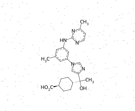 Cc1cc(Nc2nccc(C)n2)cc(-n2cnc(C(C)(O)[C@H]3CC[C@H](C(=O)O)CC3)c2)c1